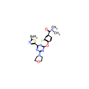 CN(C)C(=O)c1ccc(Oc2nc(-c3cnc([AsH2])s3)nc(N3CCOCC3)n2)c(F)c1